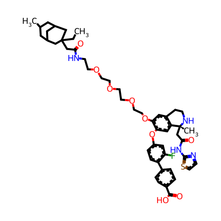 CCC1(CC(=O)NCCOCCOCCOCCOc2cc3c(cc2Oc2ccc(-c4ccc(C(=O)O)cc4)c(F)c2)[C@@](C)(CC(=O)Nc2nccs2)NCC3)CC2CC(C)CC(C2)C1